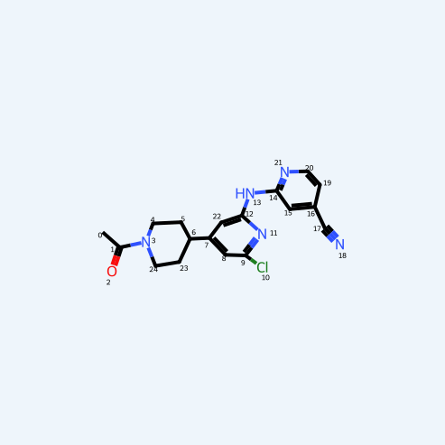 CC(=O)N1CCC(c2cc(Cl)nc(Nc3cc(C#N)ccn3)c2)CC1